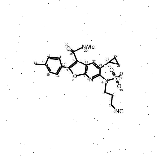 [C-]#[N+]CCCN(c1nc2oc(-c3ccc(C)cc3)c(C(=O)NC)c2cc1C1CC1)S(C)(=O)=O